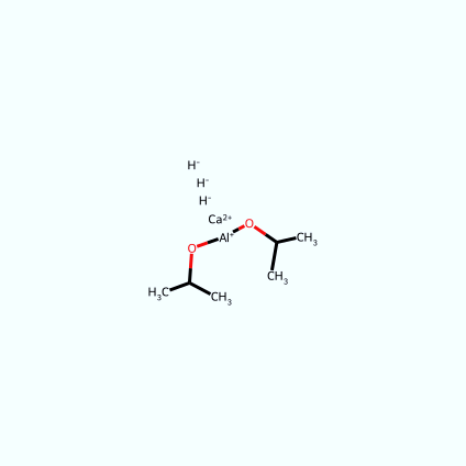 CC(C)[O][Al+][O]C(C)C.[Ca+2].[H-].[H-].[H-]